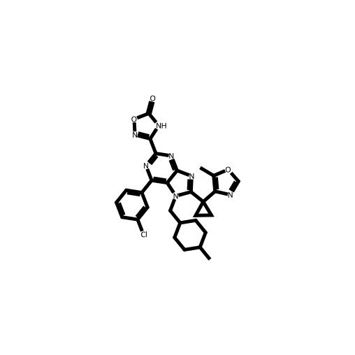 Cc1ocnc1C1(c2nc3nc(-c4noc(=O)[nH]4)nc(-c4cccc(Cl)c4)c3n2CC2CCC(C)CC2)CC1